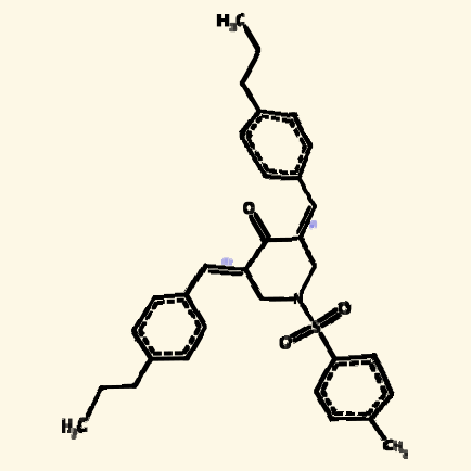 CCCc1ccc(/C=C2/CN(S(=O)(=O)c3ccc(C)cc3)C/C(=C\c3ccc(CCC)cc3)C2=O)cc1